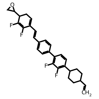 C=CC1CCC(c2ccc(-c3ccc(/C=C/C4=CCC(C5CO5)C(F)=C4F)cc3)c(F)c2F)CC1